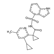 Cc1cnc(C2(C(=O)NS(=O)(=O)c3cccc4[nH]ccc34)CC2)c(C2CC2)c1